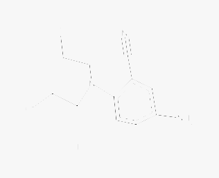 Cl.N#Cc1cc(N)ccc1N(CCCl)CCCl